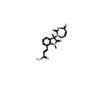 CN1C(=O)C(C)(N2CC=CC(=O)NC2=O)c2cccc(C=CC(N)=O)c21